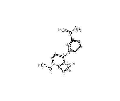 COc1ccc(-c2cccc([N+](N)=O)c2)c2s[c]nc12